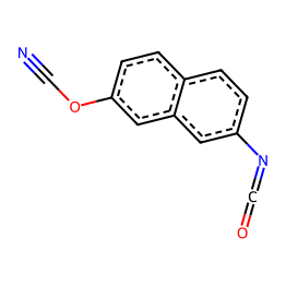 N#COc1ccc2ccc(N=C=O)cc2c1